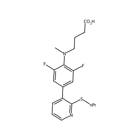 CCCSc1ncccc1-c1cc(F)c(N(C)CCCC(=O)O)c(F)c1